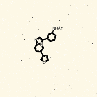 CC(=O)Nc1cccc(-c2cnc3ccc(-c4ccoc4)cn23)c1